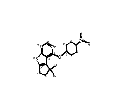 CN(C)C1CCC(Oc2ncnc3sc4c(c23)C(C)(C)CC4)CC1